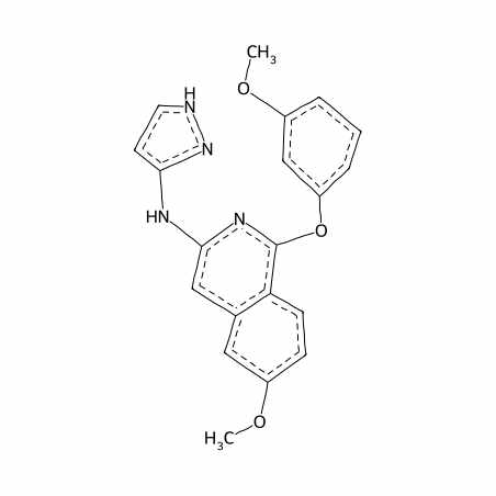 COc1cccc(Oc2nc(Nc3cc[nH]n3)cc3cc(OC)ccc23)c1